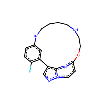 Fc1ccc2cc1-c1cnn3ccc(nc13)OCCNCCCCN2